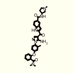 Cc1cc(Oc2ccccc2C(=O)N(C)C)ccc1-n1ncc(C(=O)c2cc3cc(C(=O)NC4CCN(C)C4)ccc3[nH]2)c1N